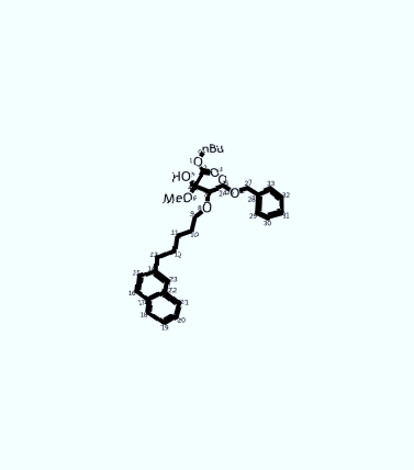 CCCCOC(=O)C(O)(OC)C(OCCCCCc1ccc2ccccc2c1)C(=O)OCc1ccccc1